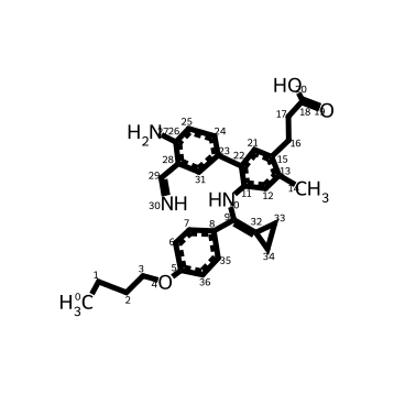 CCCCOc1ccc(C(Nc2cc(C)c(CCC(=O)O)cc2-c2ccc(N)c(C=N)c2)=C2CC2)cc1